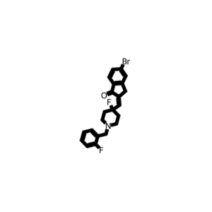 O=C1C(=CC2(F)CCN(Cc3ccccc3F)CC2)Cc2cc(Br)ccc21